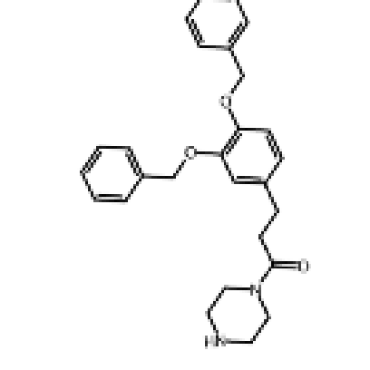 O=C(CCc1ccc(OCc2ccccc2)c(OCc2ccccc2)c1)N1CCNCC1